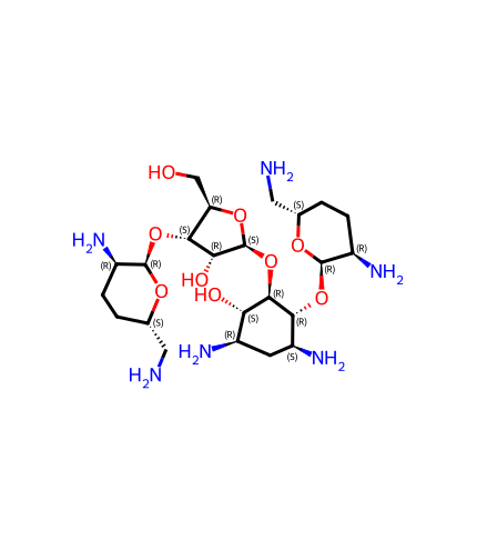 NC[C@@H]1CC[C@@H](N)[C@@H](O[C@H]2[C@H](O[C@@H]3O[C@H](CO)[C@@H](O[C@H]4O[C@H](CN)CC[C@H]4N)[C@H]3O)[C@@H](O)[C@H](N)C[C@@H]2N)O1